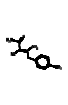 N#C/C(C(N)=S)=C(/N)Cc1ccc([N+](=O)[O-])cc1